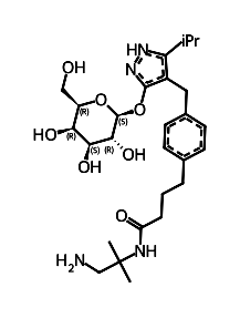 CC(C)c1[nH]nc(O[C@@H]2O[C@H](CO)[C@H](O)[C@H](O)[C@H]2O)c1Cc1ccc(CCCC(=O)NC(C)(C)CN)cc1